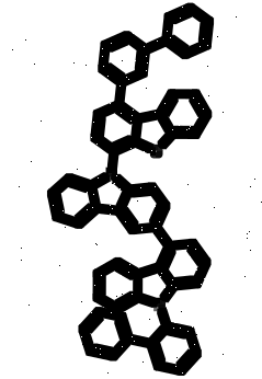 c1ccc(-c2cccc(-c3ccc(-n4c5ccccc5c5cc(-c6cccc7c6c6ccccc6n7-c6ccccc6-c6ccccc6)ccc54)c4oc5ccccc5c34)c2)cc1